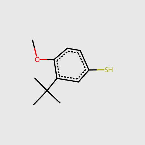 COc1ccc(S)cc1C(C)(C)C